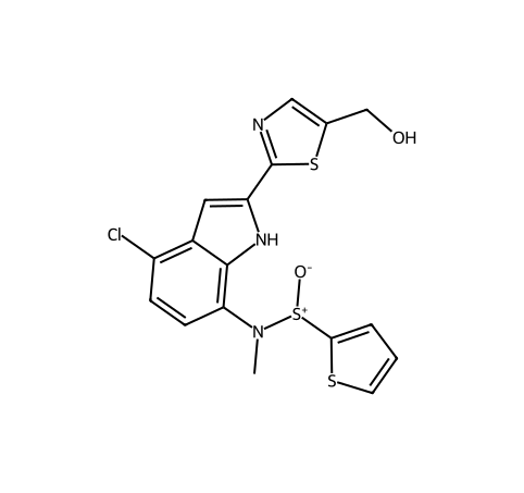 CN(c1ccc(Cl)c2cc(-c3ncc(CO)s3)[nH]c12)[S+]([O-])c1cccs1